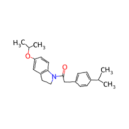 CC(C)Oc1ccc2c(c1)CCN2C(=O)Cc1ccc(C(C)C)cc1